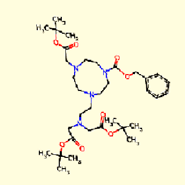 CC(C)(C)OC(=O)CN1CCN(CCN(CC(=O)OC(C)(C)C)CC(=O)OC(C)(C)C)CCN(C(=O)OCc2ccccc2)CC1